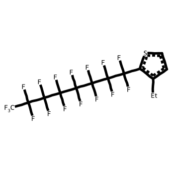 CCc1ccsc1C(F)(F)C(F)(F)C(F)(F)C(F)(F)C(F)(F)C(F)(F)C(F)(F)C(F)(F)F